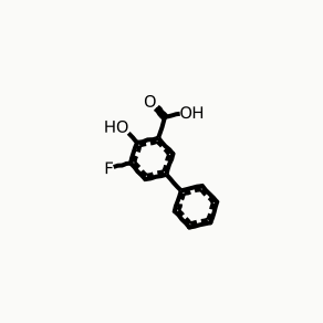 O=C(O)c1cc(-c2ccccc2)cc(F)c1O